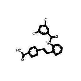 O=C(O)c1ccc(C=Cc2ccccc2NC(=O)c2cc(Cl)cc(Cl)c2)cc1